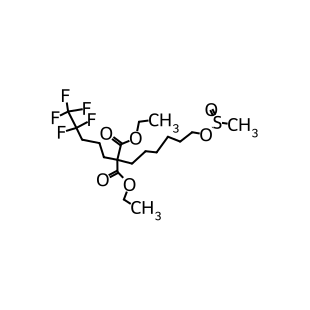 CCOC(=O)C(CCCCCCOS(C)=O)(CCCC(F)(F)C(F)(F)F)C(=O)OCC